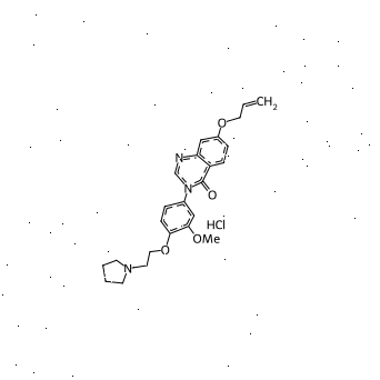 C=CCOc1ccc2c(=O)n(-c3ccc(OCCN4CCCC4)c(OC)c3)cnc2c1.Cl